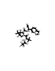 CC(C)(C)[C@H](NC(=O)C(F)(F)F)C(=O)N1C[C@H]2[C@@H]([C@H]1C(=O)NC(C#N)c1ccc3cnnn3c1)C2(C)C